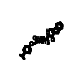 CC(C)c1ccc(OCC(=O)NNC(=S)NC(=O)c2cc3ccccc3n2C)cc1